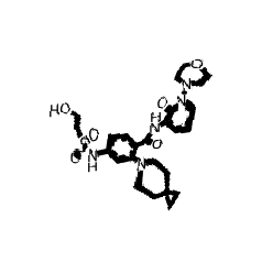 O=C(Nc1cccn(N2CCOCC2)c1=O)c1ccc(NS(=O)(=O)CCO)cc1N1CCC2(CC1)CC2